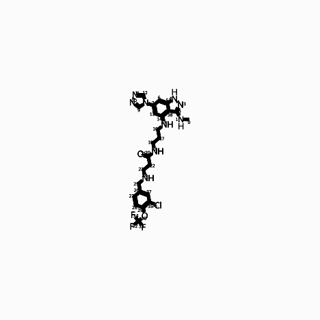 CNc1n[nH]c2cc(-n3cnnc3)cc(NCCCNC(=O)CCNCc3ccc(OC(F)(F)F)c(Cl)c3)c12